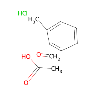 C=O.CC(=O)O.Cc1ccccc1.Cl